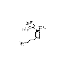 Cc1ccc(CCCC(C)C)cc1C(C)CC=O